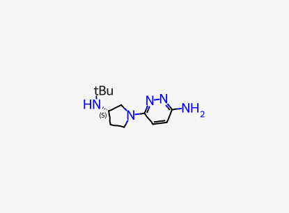 CC(C)(C)N[C@H]1CCN(c2ccc(N)nn2)C1